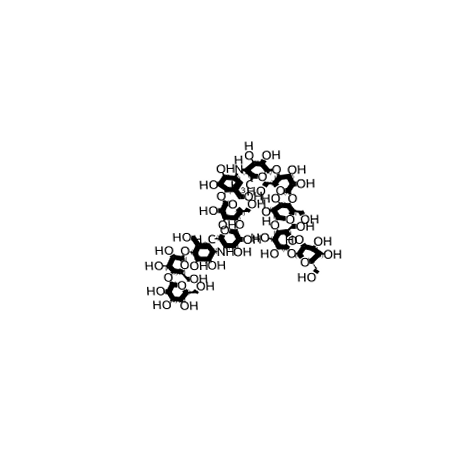 C[C@@H]1O[C@H](O[C@@H]2[C@H](CO)O[C@H](O[C@@H]3C(CO)=C[C@H](N[C@@H]4[C@H](C)O[C@H](O[C@@H]5[C@H](CO)O[C@H](O[C@H]6[C@@H](O)[C@H](O)[C@@H](O[C@H]7[C@@H](O)[C@H](O)[C@@H](O[C@H]8O[C@@H](CO)[C@@H](O)[C@H](O)C8O)O[C@@H]7CO)O[C@@H]6CO)C(O)[C@H]5O)C(O)[C@H]4O)[C@@H](O)[C@@H]3O)C(O)[C@H]2O)C(O)[C@@H](O)[C@@H]1N[C@H]1C=C(CO)[C@@H](O[C@H]2O[C@@H](CO)[C@@H](O[C@H]3O[C@@H](CO)[C@@H](O)[C@H](O)C3O)[C@H](O)C2O)[C@@H](O)[C@@H]1O